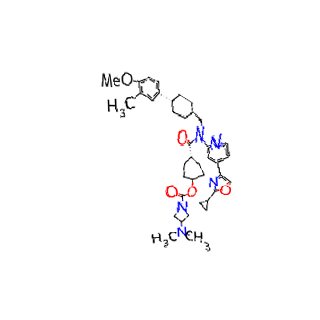 COc1ccc([C@H]2CC[C@H](CN(c3cc(-c4coc(C5CC5)n4)ccn3)C(=O)[C@H]3CC[C@H](OC(=O)N4CC(N(C)C)C4)CC3)CC2)cc1C